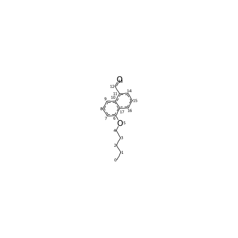 CCCCCOc1cccc2c(C=O)cccc12